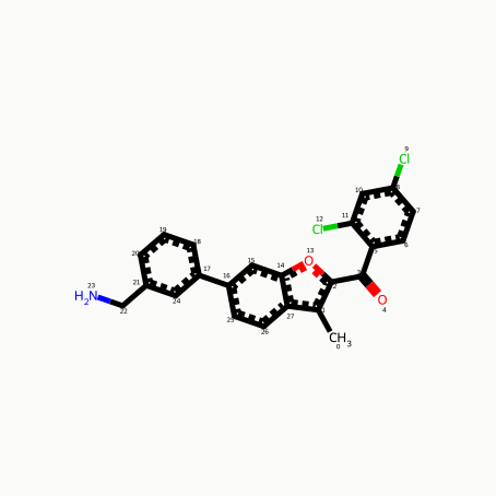 Cc1c(C(=O)c2ccc(Cl)cc2Cl)oc2cc(-c3cccc(CN)c3)ccc12